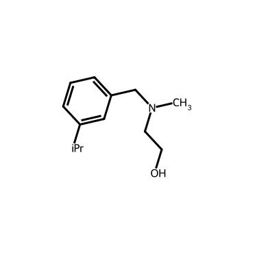 CC(C)c1cccc(CN(C)CCO)c1